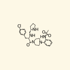 CS(=O)(=O)Nc1ccccc1N1CCN(C(=O)[C@@H](Cc2ccc(Cl)cc2)NC[C@H]2CCCN2)CC1